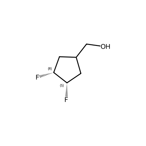 OCC1C[C@@H](F)[C@@H](F)C1